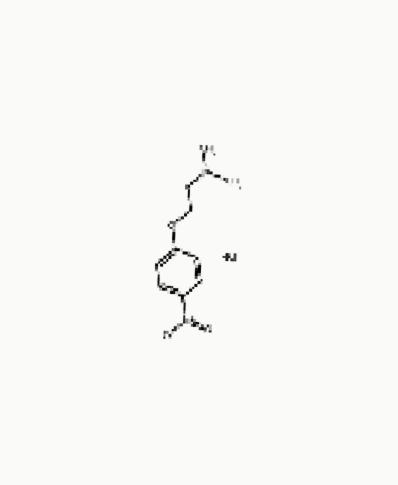 CN(C)CCOc1ccc([N+](=O)[O-])cc1.Cl